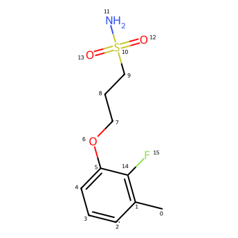 Cc1[c]ccc(OCCCS(N)(=O)=O)c1F